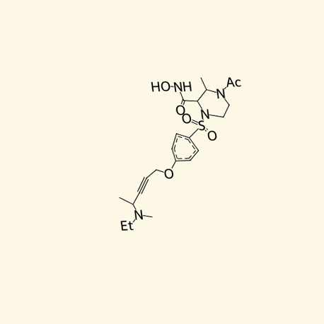 CCN(C)C(C)C#CCOc1ccc(S(=O)(=O)N2CCN(C(C)=O)C(C)C2C(=O)NO)cc1